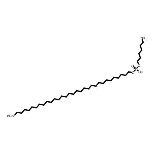 CCCCCCCCCCCCCCCCCCCCCCCCCCCCCCCCCCCCCCCCCOP(=O)(O)OCCCCCCN